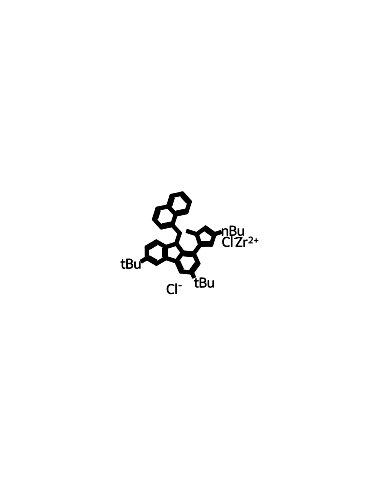 CCCCC1=CC(C)C(c2cc(C(C)(C)C)cc3c2C(Cc2cccc4ccccc24)c2ccc(C(C)(C)C)cc2-3)=C1.[Cl-].[Cl-].[Zr+2]